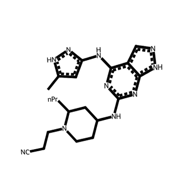 CCCC1CC(Nc2nc(Nc3cc(C)[nH]n3)c3cn[nH]c3n2)CCN1CCC#N